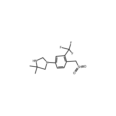 CC1(C)CN(c2ccc(C[SH](=O)=O)c(C(F)(F)F)c2)CN1